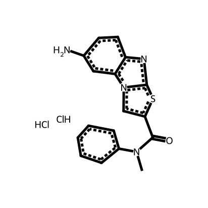 CN(C(=O)c1cn2c(nc3ccc(N)cc32)s1)c1ccccc1.Cl.Cl